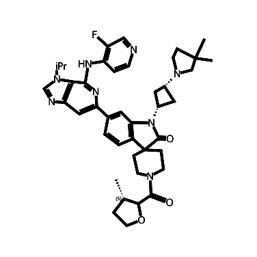 CC(C)n1cnc2cc(-c3ccc4c(c3)N([C@H]3C[C@@H](N5CCC(C)(C)C5)C3)C(=O)C43CCN(C(=O)C4OCC[C@@H]4C)CC3)nc(Nc3ccncc3F)c21